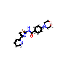 O=C(Nc1nc(-c2ccccn2)cs1)c1ccc(N2CCOCC2)cc1